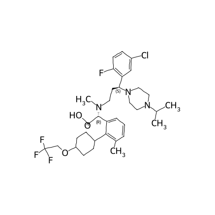 Cc1cccc([C@H](C(=O)O)N(C)CC[C@@H](c2cc(Cl)ccc2F)N2CCN(C(C)C)CC2)c1C1CCC(OCC(F)(F)F)CC1